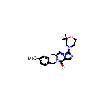 COc1ccc(Cn2c(C)cn3c(N4CCOC(C)(C)C4)ncc3c2=O)cc1